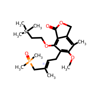 COc1c(C)c2c(c(OCC[Si](C)(C)C)c1C/C=C(\C)CP(C)(C)=O)C(=O)OC2